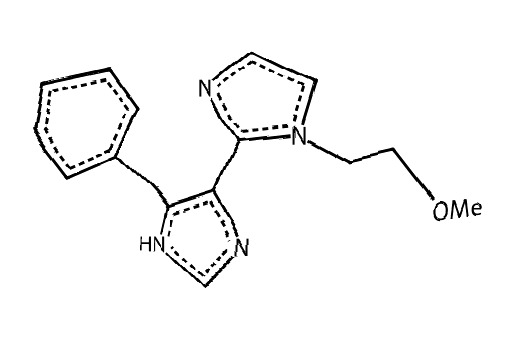 COCCn1ccnc1-c1nc[nH]c1-c1ccccc1